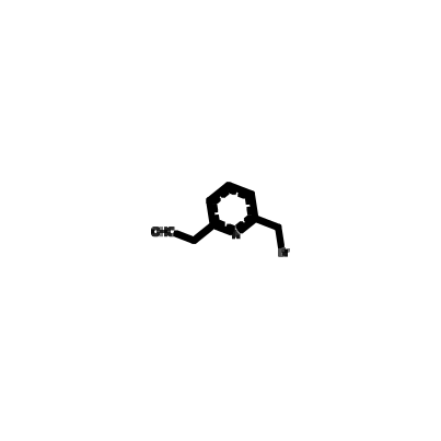 O=CCc1cccc(CBr)n1